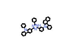 c1ccc(C2=NC(c3ccc4c5ccccc5n(-c5ccccc5)c4c3)=NC(c3cccc(-n4c5ccccc5c5c6ccccc6ccc54)c3)N2)cc1